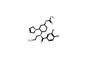 CCCN(C(=O)c1ccc(Br)c(Br)c1)C1CCC(OC(C)=O)CC1N1CC=CC1